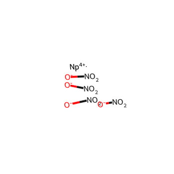 O=[N+]([O-])[O-].O=[N+]([O-])[O-].O=[N+]([O-])[O-].O=[N+]([O-])[O-].[Np+4]